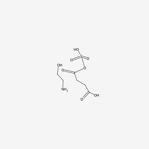 NCCO.O=C(O)CCC(=O)OS(=O)(=O)O